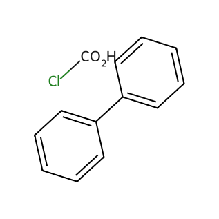 O=C(O)Cl.c1ccc(-c2ccccc2)cc1